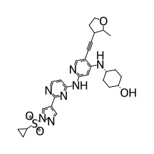 CC1OCCC1C#Cc1cnc(Nc2ccnc(-c3cnn(S(=O)(=O)C4CC4)c3)n2)cc1N[C@H]1CC[C@@H](O)CC1